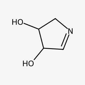 OC1C=NCC1O